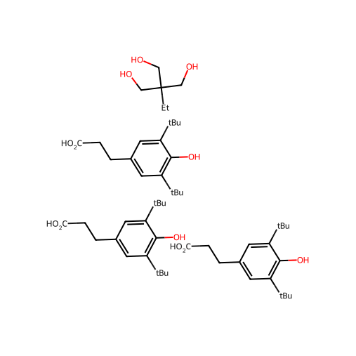 CC(C)(C)c1cc(CCC(=O)O)cc(C(C)(C)C)c1O.CC(C)(C)c1cc(CCC(=O)O)cc(C(C)(C)C)c1O.CC(C)(C)c1cc(CCC(=O)O)cc(C(C)(C)C)c1O.CCC(CO)(CO)CO